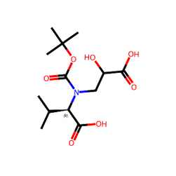 CC(C)[C@H](C(=O)O)N(CC(O)C(=O)O)C(=O)OC(C)(C)C